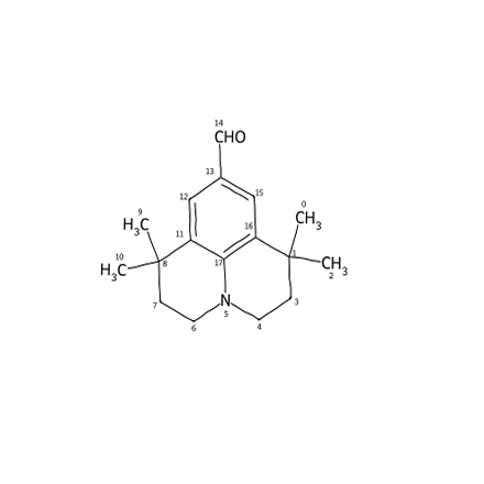 CC1(C)CCN2CCC(C)(C)c3cc(C=O)cc1c32